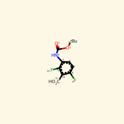 CC(C)(C)OC(=O)Nc1ccc(F)c(C(=O)O)c1F